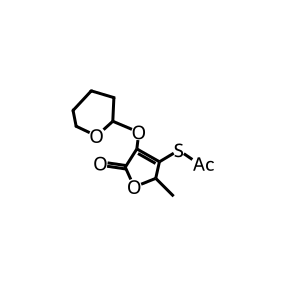 CC(=O)SC1=C(OC2CCCCO2)C(=O)OC1C